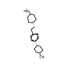 CCCC[C@H]1CC[C@H](CCc2ccc([C@H]3CC[C@H](C#N)CC3)cc2)CC1